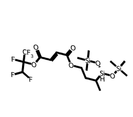 CC(CCOC(=O)C=CC(=O)OC(F)(C(F)F)C(F)(F)F)[SiH](O[Si](C)(C)C)O[Si](C)(C)C